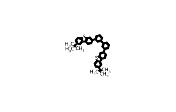 CC(C)(C)c1ccc2sc3cc(-c4cccc(-c5cccc(-c6ccc7c(c6)sc6ccc(C(C)(C)C)cc67)c5)c4)ccc3c2c1